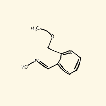 COCc1ccccc1C=NO